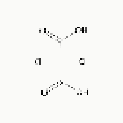 O=C(O)C(Cl)(Cl)C(=O)O